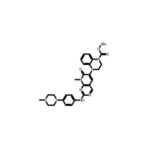 CN1CCN(c2ccc(Nc3ncc4cc(N5CCN(C(=O)OC(C)(C)C)c6ccccc65)c(=O)n(C)c4n3)cc2)CC1